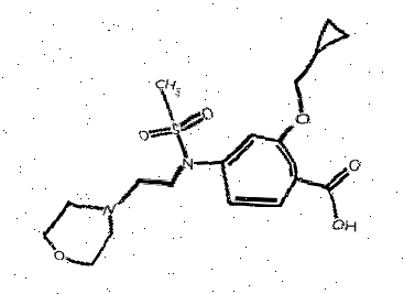 CS(=O)(=O)N(CCN1CCOCC1)c1ccc(C(=O)O)c(OCC2CC2)c1